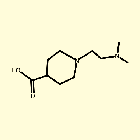 CN(C)CCN1CCC(C(=O)O)CC1